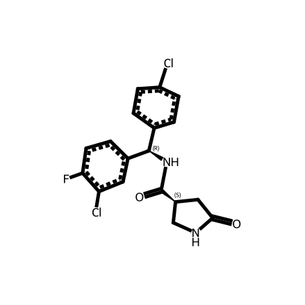 O=C1C[C@H](C(=O)N[C@H](c2ccc(Cl)cc2)c2ccc(F)c(Cl)c2)CN1